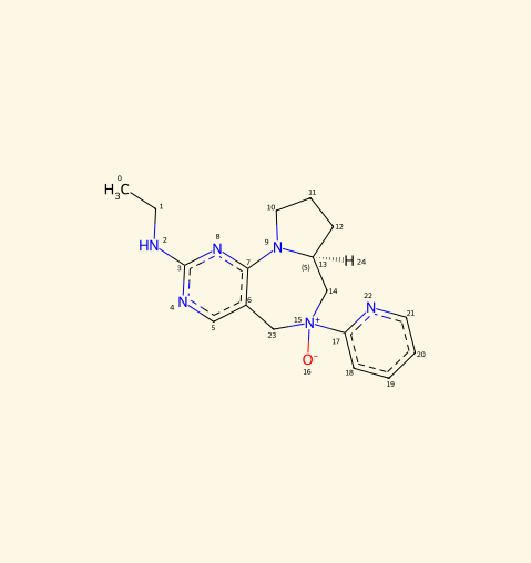 CCNc1ncc2c(n1)N1CCC[C@H]1C[N+]([O-])(c1ccccn1)C2